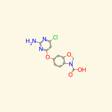 Nc1nc(Cl)cc(Oc2ccc3c(c2)OCN3C(=O)O)n1